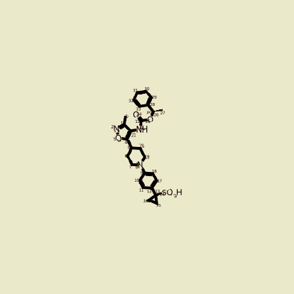 Cc1noc(C2CCN(c3ccc(C4(S(=O)(=O)O)CC4)cc3)CC2)c1NC(=O)O[C@H](C)c1ccccc1